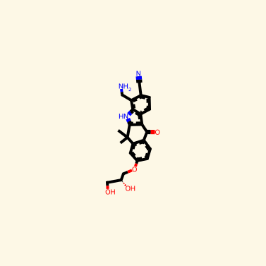 CC1(C)c2cc(OC[C@H](O)CO)ccc2C(=O)c2c1[nH]c1c(CN)c(C#N)ccc21